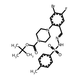 Cc1ccc(S(=O)(=O)N/N=C/c2cc(F)c(Br)cc2N2CCN(C(=O)OC(C)(C)C)CC2)cc1